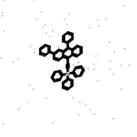 C(#C[Si](c1ccccc1)(c1ccccc1)c1ccccc1)c1c2ccccc2c(-c2ccccc2)c2cc(-c3ccccc3)ccc12